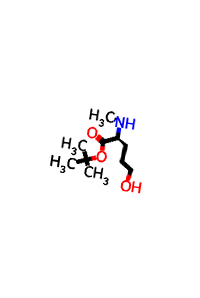 CN[C@@H](CCCO)C(=O)OC(C)(C)C